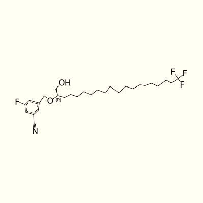 N#Cc1cc(F)cc(CO[C@@H](CO)CCCCCCCCCCCCCCCCCC(F)(F)F)c1